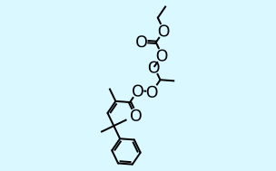 CCOC(=O)OOC(C)OOC(=O)/C(C)=C\C(C)(C)c1ccccc1